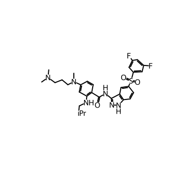 CC(C)CNc1cc(N(C)CCCN(C)C)ccc1C(=O)Nc1n[nH]c2ccc(S(=O)(=O)c3cc(F)cc(F)c3)cc12